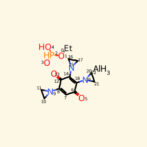 CCO[PH](=O)O.O=C1C=C(N2CC2)C(=O)C(N2CC2)=C1N1CC1.[AlH3]